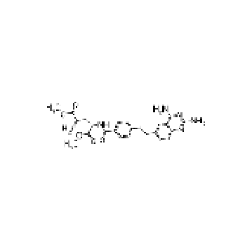 C=C(C[C@H](NC(=O)c1ccc(CCc2ccc3nc(N)nc(N)c3c2)cc1)C(=O)OC)C(=O)OC